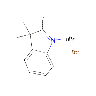 CCC[N+]1=C(C)C(C)(C)c2ccccc21.[Br-]